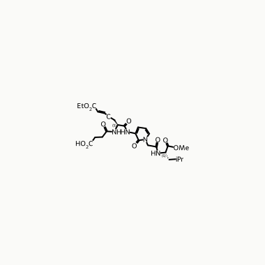 CCOC(=O)C=CCC[C@H](NC(=O)CCC(=O)O)C(=O)Nc1cccn(CC(=O)N[C@@H](CC(C)C)C(=O)OC)c1=O